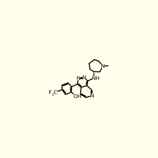 CN1CCCC[C@H](Nc2nnc(-c3ccc(C(F)(F)F)cc3O)c3ccncc23)C1